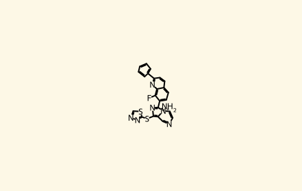 N[N+]12C=CN=CC1=C(Sc1nncs1)N=C2c1ccc2ccc(-c3ccccc3)nc2c1F